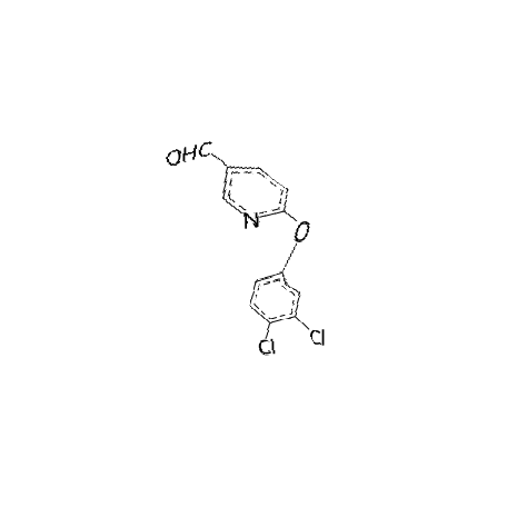 O=Cc1ccc(Oc2ccc(Cl)c(Cl)c2)nc1